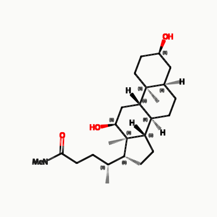 CNC(=O)CC[C@@H](C)[C@H]1CC[C@H]2[C@@H]3CC[C@@H]4C[C@H](O)CC[C@]4(C)[C@H]3C[C@H](O)[C@]12C